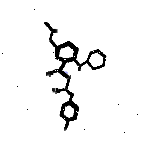 CNSc1ccc(NC2CCCCC2)c(/C(N)=N/N(N)Cc2ccc(F)cc2)c1